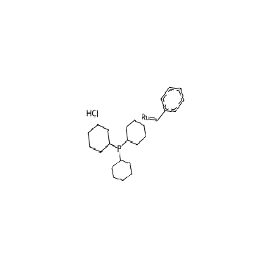 C1CCC(P(C2CCCCC2)C2CCCCC2)CC1.Cl.[Ru]=[CH]c1ccccc1